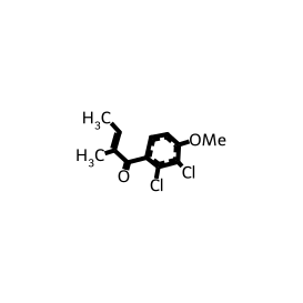 CC=C(C)C(=O)c1ccc(OC)c(Cl)c1Cl